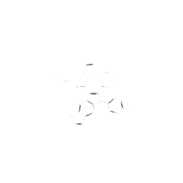 CCOCC(CCC(=O)O)c1c(C2CCOCC2)n(-c2ccc(F)cc2)c2cc3cn[nH]c3cc12